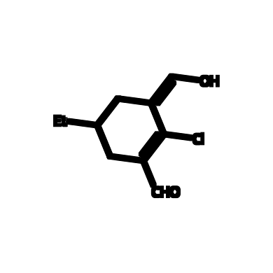 CCC1CC(=CO)C(Cl)=C(C=O)C1